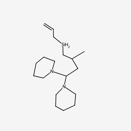 C=CC[SiH2]CC(C)CC(N1CCCCC1)N1CCCCC1